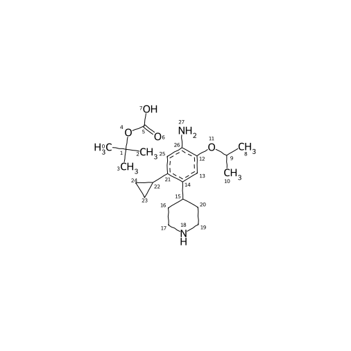 CC(C)(C)OC(=O)O.CC(C)Oc1cc(C2CCNCC2)c(C2CC2)cc1N